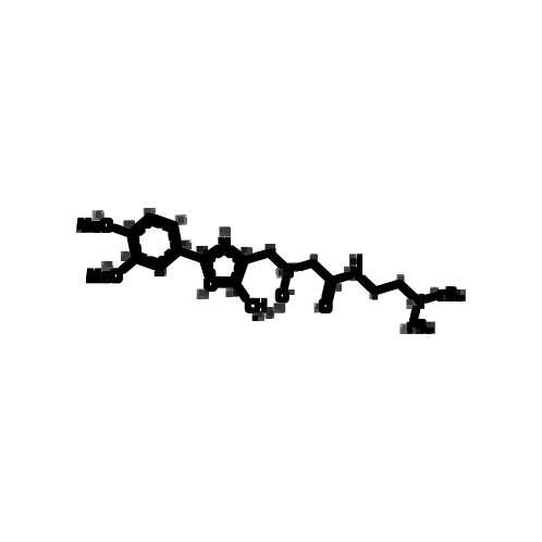 CCCCN(CCCC)CCNC(=O)C[S+]([O-])Cc1nc(-c2ccc(OC)c(OC)c2)oc1C